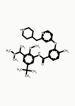 COc1c(NC(=O)c2ccc(C)c(Oc3ccnc(CC4CCNCC4)c3)c2)cc(C(C)(C)C)cc1C(C)N(C)C